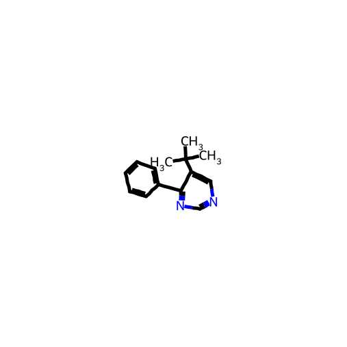 CC(C)(C)c1cncnc1-c1ccccc1